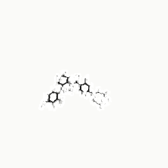 Cc1cc(N2CCOCC2)ncc1C(=O)Nc1ccncc1Nc1ccc(F)cc1F